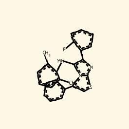 Cc1cccc(C)c1Nc1c(-c2ccccc2F)nc2scc(-c3ccccc3)n12